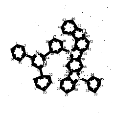 c1ccc(-c2cc(-c3ccccc3)nc(-c3cccc(-n4c5cc6c7ccccc7n(-c7ccccc7)c6cc5c5ccc6oc7ccccc7c6c54)c3)n2)cc1